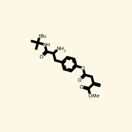 C=C(CC(=O)Oc1ccc(CC(N)C(=O)NC(C)(C)C(C)(C)C)cc1)C(=O)OC